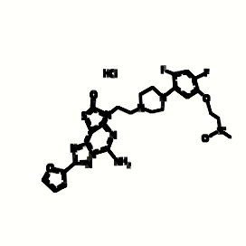 C[S+]([O-])CCOc1cc(N2CCN(CCn3c(=O)sc4c3nc(N)n3nc(-c5ccco5)nc43)CC2)c(F)cc1F.Cl